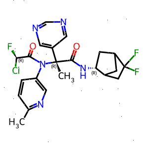 Cc1ccc(N(C(=O)[C@H](F)Cl)[C@@](C)(C(=O)N[C@@H]2CC3CC2CC3(F)F)c2cncnc2)cn1